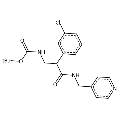 CC(C)(C)OC(=O)NCC(C(=O)NCc1ccncc1)c1cccc(Cl)c1